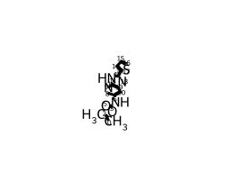 CC(C)OC(=O)Nc1cnc2[nH]c(-c3cccs3)nc2c1